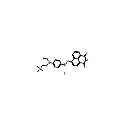 CCN(CC[N+](C)(C)C)c1ccc(/N=N/c2ccc3c4c(cccc24)C(=O)NC3=O)cc1.[Br-]